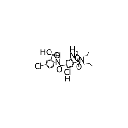 CCCN(CCC)S(=O)(=O)c1ccc(C(=O)Nc2ccc(Cl)cc2C(=O)O)cc1N.Cl